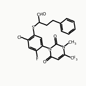 Cn1c(C(F)(F)F)cc(=O)n(-c2cc(SC(C=O)CCc3ccccc3)c(Cl)cc2F)c1=O